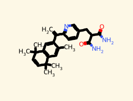 C=C(c1ccc(CC(C(N)=O)C(N)=O)cn1)c1cc2c(cc1C)C(C)(C)C=CC2(C)C